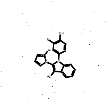 CC(=O)c1cccn1-c1c(C#N)c2ccccc2n1-c1ccc(O)c(F)c1